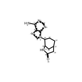 Nc1ncnc2c1ncn2C1CCC2CC(=O)NC1C2